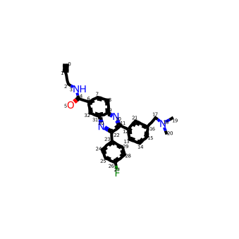 C#CCNC(=O)c1ccc2nc(-c3cccc(CN(C)C)c3)c(-c3ccc(F)cc3)nc2c1